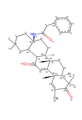 CC1(C)CC[C@]2(NC(=O)Cc3ccccc3)CC[C@]3(C)C(C(=O)C=C4[C@@]5(C)C=C(C#N)C(=O)C(C)(C)[C@@H]5CC[C@]43C)C2C1